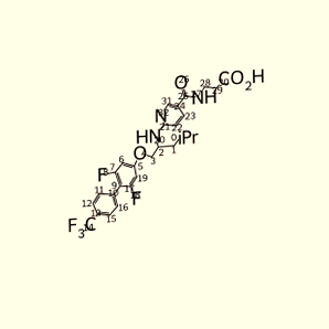 CC(C)CC(COc1cc(F)c(-c2ccc(C(F)(F)F)cc2)c(F)c1)Nc1ccc(C(=O)NCCC(=O)O)cn1